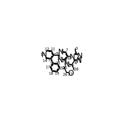 Cc1nnc2n1-c1cnc(-c3ccncc3-c3ccccc3)nc1N1CCOCC21